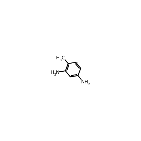 Cc1[c]cc(N)cc1N